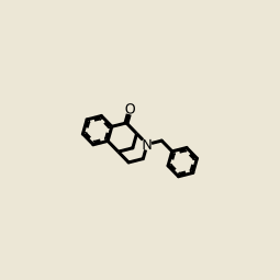 O=C1c2ccccc2C2CCN(Cc3ccccc3)C1C2